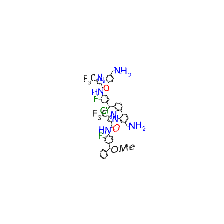 COC(c1ccccc1)c1ccc(NC(=O)c2cc(C(F)(F)F)nn2-c2cc(CN)ccc2-c2cccc(C(Cl)c3ccc(NC(=O)c4cc(C(F)(F)F)nn4-c4cccc(CN)c4)c(F)c3)c2)c(F)c1